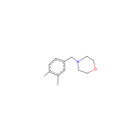 Cc1ccc(CN2CCOCC2)cc1C